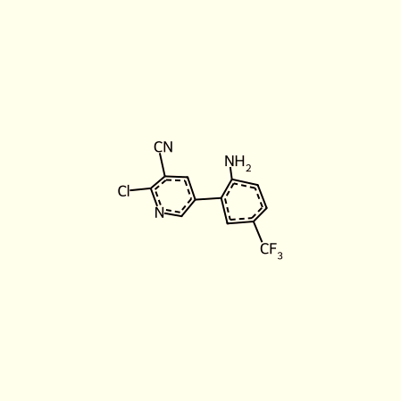 N#Cc1cc(-c2cc(C(F)(F)F)ccc2N)cnc1Cl